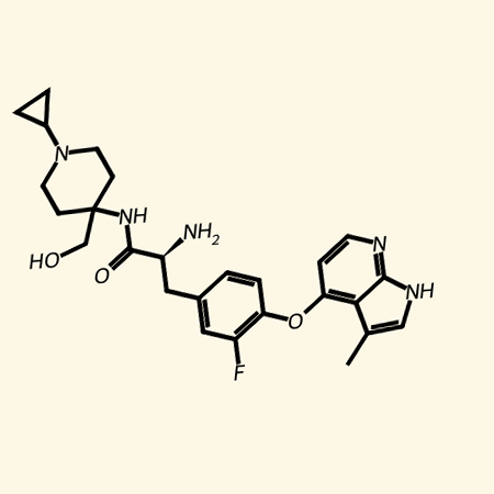 Cc1c[nH]c2nccc(Oc3ccc(C[C@H](N)C(=O)NC4(CO)CCN(C5CC5)CC4)cc3F)c12